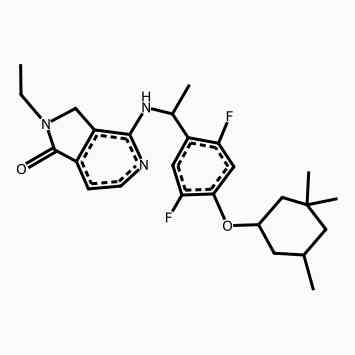 CCN1Cc2c(ccnc2NC(C)c2cc(F)c(OC3CC(C)CC(C)(C)C3)cc2F)C1=O